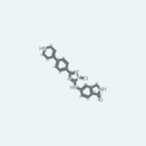 CCn1nc(-c2ccc(C3=CCNCC3)cc2)nc1Nc1ccc2c(c1)CNC2=O